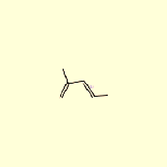 [C]=C(C)/C=C/C